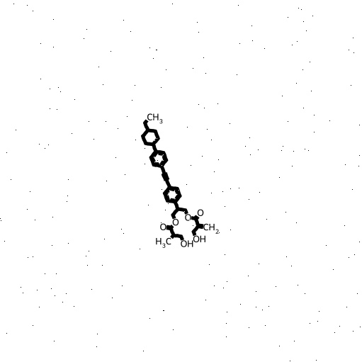 C=C(CO)C(=O)OCC(COC(=O)C(C)CO)c1ccc(C#Cc2ccc(C3CCC(CC)CC3)cc2)cc1